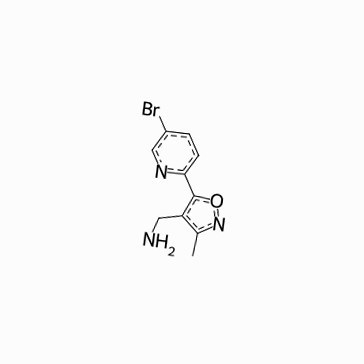 Cc1noc(-c2ccc(Br)cn2)c1CN